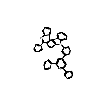 c1ccc(-c2cc(-c3cccc(-n4c5ccccc5c5c6c(ccc54)c(-c4ccccc4)nc4ccccc46)c3)cc(-c3ccccc3)n2)cc1